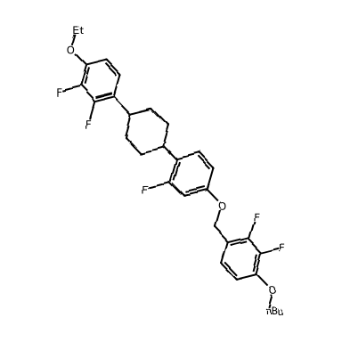 CCCCOc1ccc(COc2ccc(C3CCC(c4ccc(OCC)c(F)c4F)CC3)c(F)c2)c(F)c1F